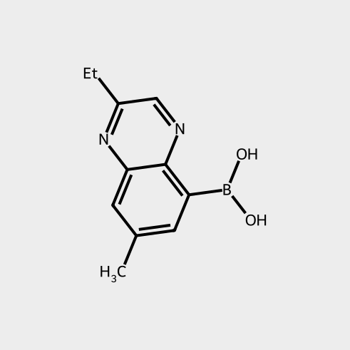 CCc1cnc2c(B(O)O)cc(C)cc2n1